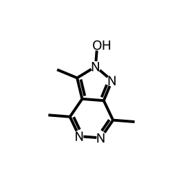 Cc1nnc(C)c2c(C)n(O)nc12